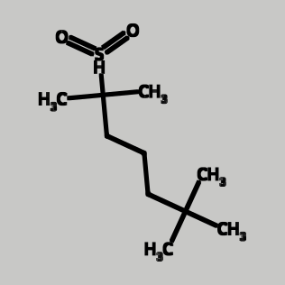 CC(C)(C)CCCC(C)(C)[SH](=O)=O